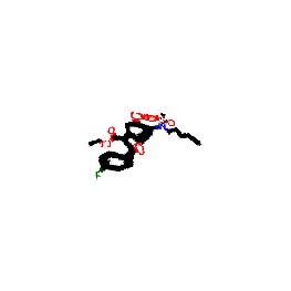 C=CCCCN(c1cc2oc(-c3ccc(F)cc3)c(C(=O)OCC)c2cc1O)S(C)(=O)=O